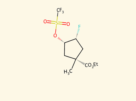 CCOC(=O)[C@@]1(C)C[C@@H](F)[C@@H](OS(=O)(=O)C(F)(F)F)C1